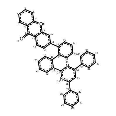 O=c1c2ccccc2oc2cc(-c3ccccc3-c3ccccc3-c3nc(-c4ccccc4)cc(-c4ccccc4)n3)ccc12